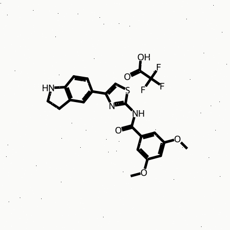 COc1cc(OC)cc(C(=O)Nc2nc(-c3ccc4c(c3)CCN4)cs2)c1.O=C(O)C(F)(F)F